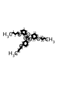 CCCCOc1cccc(OB(Oc2cccc(OCCCC)c2)Oc2cccc(OCCCC)c2)c1